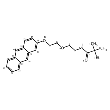 CCC(C)(C)C(=O)NCCOCCOc1ccc2nc3ccccc3cc2c1